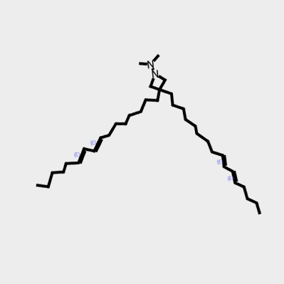 CCCC/C=C/C=C/CCCCCCCCC1(CCCCCCC/C=C/C=C/CCCCC)CN(N(C)C)C1